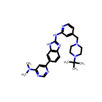 CN(C)c1cc(-c2ccc3nc(Nc4cc(CN5CCN(C(C)(C)C)CC5)ccn4)[nH]c3c2)ncn1